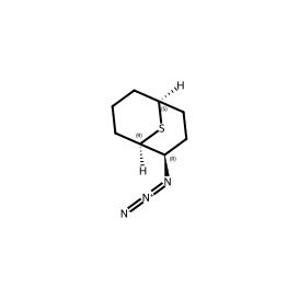 [N-]=[N+]=N[C@@H]1CC[C@@H]2CCC[C@H]1S2